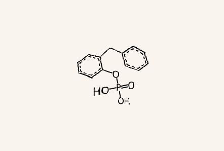 O=P(O)(O)Oc1ccccc1Cc1ccccc1